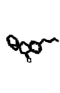 CCCCc1ccc2c(c1)CC1(CC2=O)CC2=CCC1C2